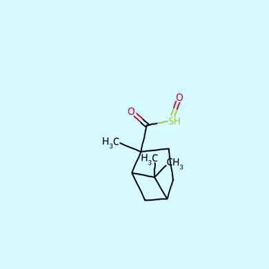 CC1(C(=O)[SH]=O)CCC2CC1C2(C)C